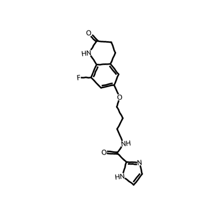 O=C1CCc2cc(OCCCNC(=O)c3ncc[nH]3)cc(F)c2N1